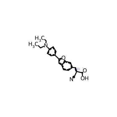 CCN(CC)c1ccc(-c2cc3ccc(/C=C(\C#N)C(=O)O)cc3o2)cc1